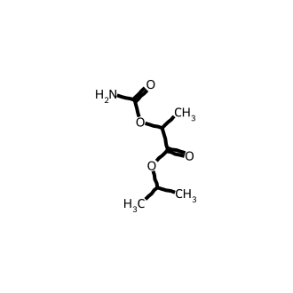 CC(C)OC(=O)C(C)OC(N)=O